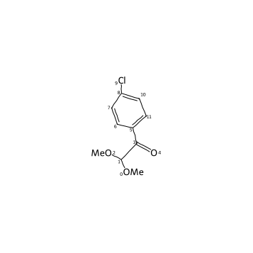 COC(OC)C(=O)c1ccc(Cl)cc1